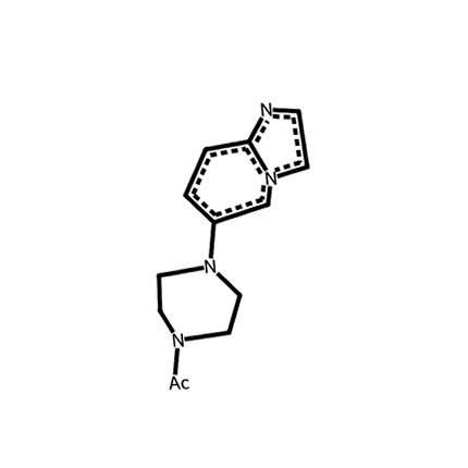 CC(=O)N1CCN(c2ccc3nccn3c2)CC1